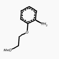 COCCOc1ccccc1P